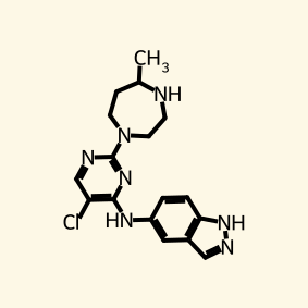 CC1CCN(c2ncc(Cl)c(Nc3ccc4[nH]ncc4c3)n2)CCN1